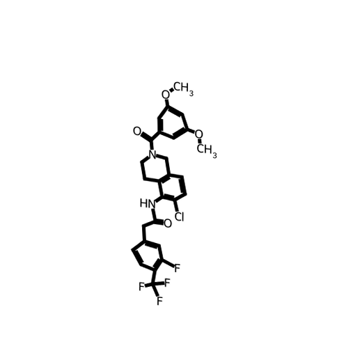 COc1cc(OC)cc(C(=O)N2CCc3c(ccc(Cl)c3NC(=O)Cc3ccc(C(F)(F)F)c(F)c3)C2)c1